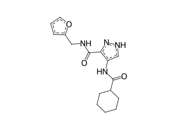 O=C(NCc1ccco1)c1n[nH]cc1NC(=O)C1CCCCC1